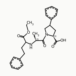 CCOC(=O)C(CCc1ccccc1)N[C@@H](C)C(=O)N1CC(c2ccccc2)C[C@H]1C(=O)O